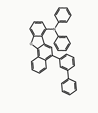 c1ccc(-c2cccc(-c3cc4c(oc5cccc(N(c6ccccc6)c6ccccc6)c54)c4ccccc34)c2)cc1